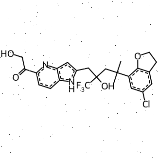 CC(C)(CC(O)(Cc1cc2nc(C(=O)CO)ccc2[nH]1)C(F)(F)F)c1cc(Cl)cc2c1OCC2